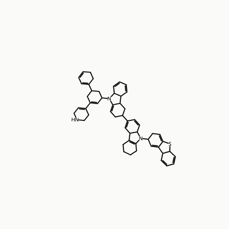 C1=CCCC(C2CC(C3=CCNCC3)=CC(N3C4=CCC(C5=CC6C7=C(CCCC7)N(C7C=C8C(=CC7)SC7C=CC=CC87)C6C=C5)CC4C4C=CC=CC43)C2)=C1